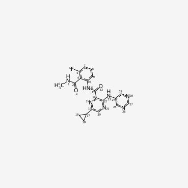 CNC(=O)c1c(F)cccc1NC(=O)c1nc(C2CC2)cnc1Nc1cncnc1